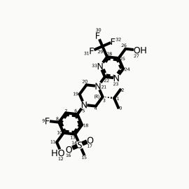 CC(C)[C@@H]1CN(c2cc(F)c(CO)c(S(C)(=O)=O)c2)CCN1c1ncc(CO)c(C(F)(F)F)n1